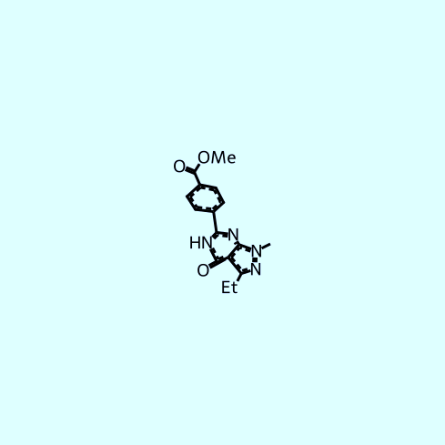 CCc1nn(C)c2nc(-c3ccc(C(=O)OC)cc3)[nH]c(=O)c12